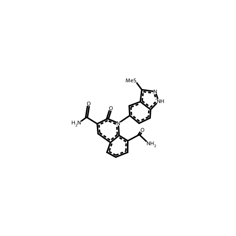 CSc1n[nH]c2ccc(-n3c(=O)c(C(N)=O)cc4cccc(C(N)=O)c43)cc12